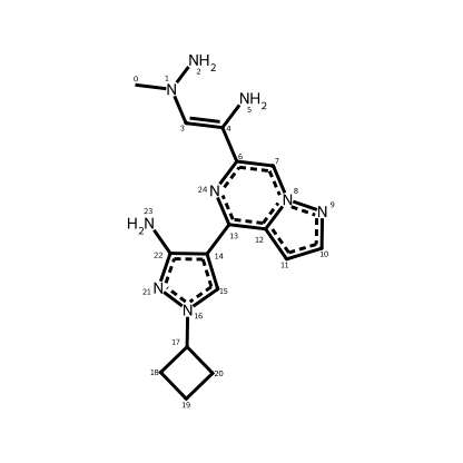 CN(N)/C=C(\N)c1cn2nccc2c(-c2cn(C3CCC3)nc2N)n1